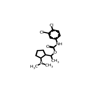 CC(OC(=O)Nc1ccc(Cl)c(Cl)c1)C1CCCC1N(C)C